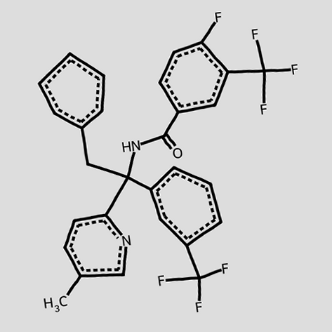 Cc1ccc(C(Cc2ccccc2)(NC(=O)c2ccc(F)c(C(F)(F)F)c2)c2cccc(C(F)(F)F)c2)nc1